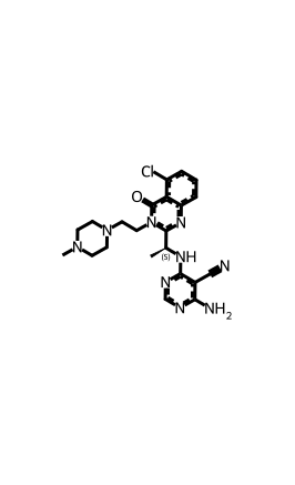 C[C@H](Nc1ncnc(N)c1C#N)c1nc2cccc(Cl)c2c(=O)n1CCN1CCN(C)CC1